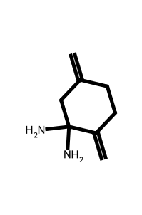 C=C1CCC(=C)C(N)(N)C1